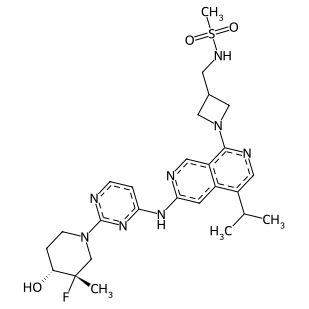 CC(C)c1cnc(N2CC(CNS(C)(=O)=O)C2)c2cnc(Nc3ccnc(N4CC[C@@H](O)[C@@](C)(F)C4)n3)cc12